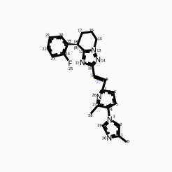 Cc1cn(-c2ccc(/C=C/c3nc4n(n3)CCC[C@@H]4c3ccccc3F)nc2C)cn1